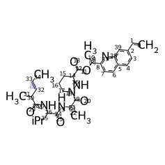 C=Cc1ccc2ccc([C@@H](C)OC(=O)C3CCCN(C(=O)[C@H](C)NC(=O)C(NC(=O)C(C)/C=C/C)C(C)C)N3)nc2c1